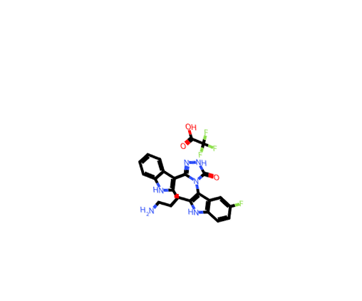 Cc1[nH]c2ccccc2c1-c1n[nH]c(=O)n1-c1c(CCCN)[nH]c2ccc(F)cc12.O=C(O)C(F)(F)F